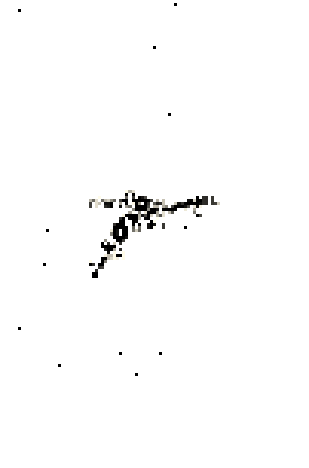 CCCCCC(=O)N1C(Cc2ccc(OC(=O)NCCN(C)C)cc2)C(=O)N(C(C(=O)NCCCCCC(N)=O)C(C)CC)C12CCCC2